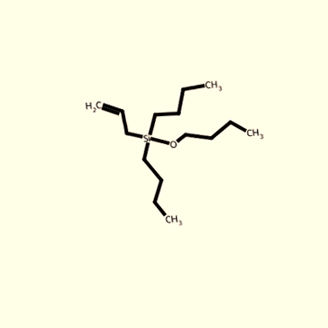 C=CC[Si](CCCC)(CCCC)OCCCC